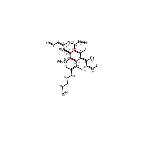 C=C\C=C(/C=C(\C=C(\C)C(/N=C(/OC)N(CCCC)CCNC)=C(/C=N\C)CC)CC/C(F)=C(\C)CCCCO)N=O